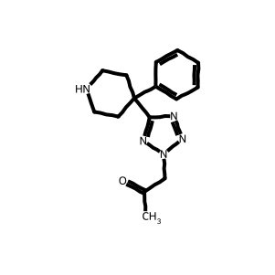 CC(=O)Cn1nnc(C2(c3ccccc3)CCNCC2)n1